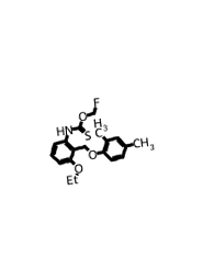 CCOc1cccc(NC(=S)OCF)c1COc1ccc(C)cc1C